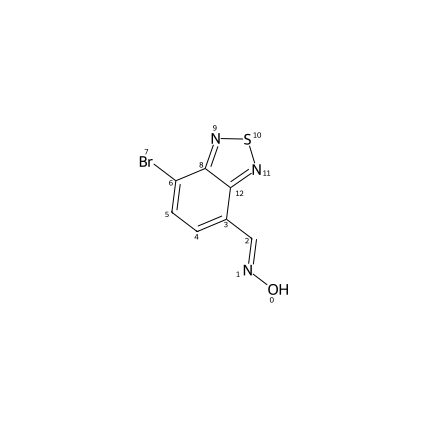 ON=Cc1ccc(Br)c2nsnc12